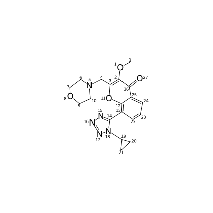 COc1c(CN2CCOCC2)oc2c(-c3nnnn3C3CC3)cccc2c1=O